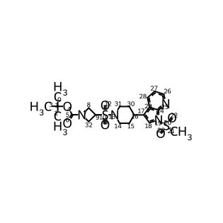 CC(C)(C)OC(=O)N1CC(S(=O)(=O)N2CCC(c3cn(S(C)(=O)=O)c4ncccc34)CC2)C1